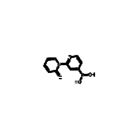 O=c1ccccn1-c1cc(B(O)O)ccn1